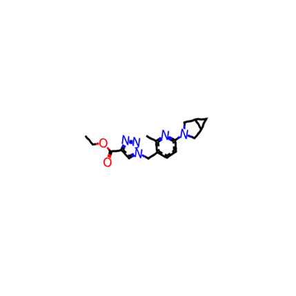 CCOC(=O)c1cn(Cc2ccc(N3CC4CC4C3)nc2C)nn1